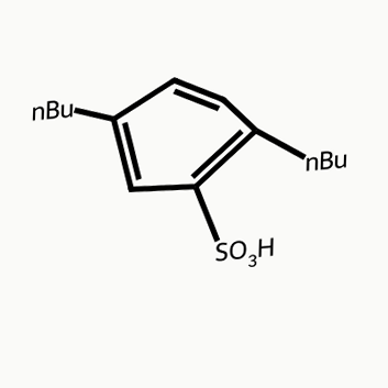 CCCCc1ccc(CCCC)c(S(=O)(=O)O)c1